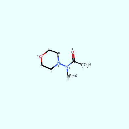 CCCCCN(C(=O)C(=O)O)N1CCOCC1